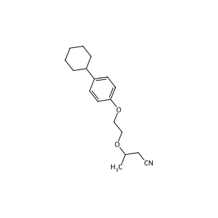 CC(CC#N)OCCOc1ccc(C2CCCCC2)cc1